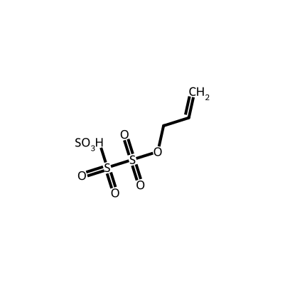 C=CCOS(=O)(=O)S(=O)(=O)S(=O)(=O)O